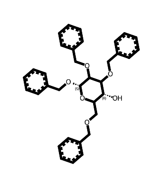 O[C@@H]1C(COCc2ccccc2)O[C@H](OCc2ccccc2)C(OCc2ccccc2)C1OCc1ccccc1